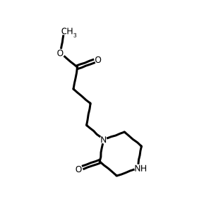 COC(=O)CCCN1CCNCC1=O